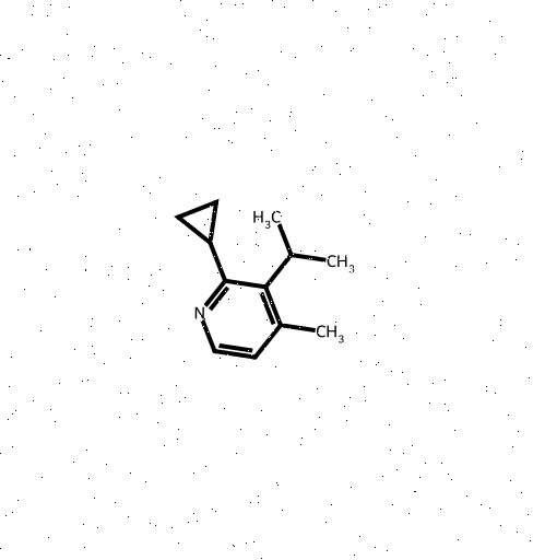 Cc1ccnc(C2CC2)c1C(C)C